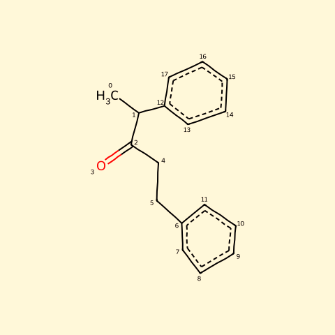 CC(C(=O)CCc1ccccc1)c1ccccc1